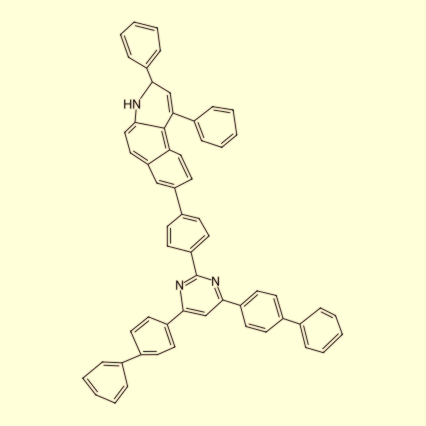 C1=C(c2ccccc2)c2c(ccc3cc(-c4ccc(-c5nc(-c6ccc(-c7ccccc7)cc6)cc(-c6ccc(-c7ccccc7)cc6)n5)cc4)ccc23)NC1c1ccccc1